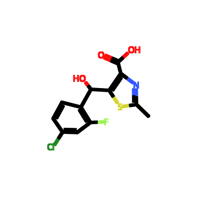 Cc1nc(C(=O)O)c(C(O)c2ccc(Cl)cc2F)s1